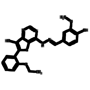 CCOc1ccccc1-c1sc2c(NN=Cc3ccc(O)c(OC)c3)ncnc2c1O